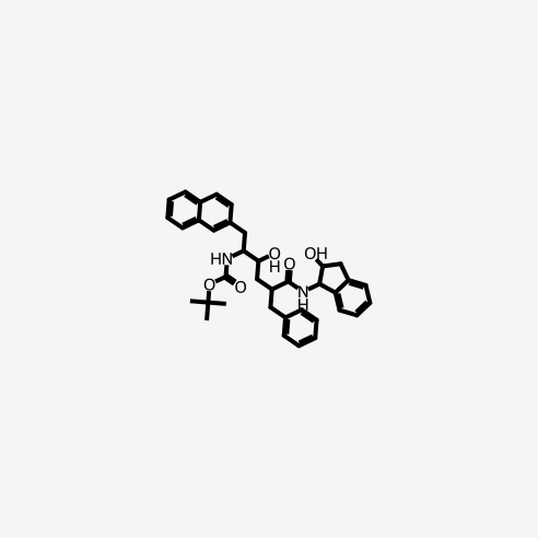 CC(C)(C)OC(=O)NC(Cc1ccc2ccccc2c1)C(O)CC(Cc1ccccc1)C(=O)NC1c2ccccc2CC1O